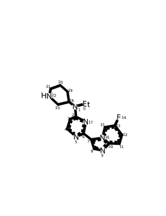 CCN(c1ccnc(-c2cnc3ccc(F)cn23)n1)C1CCCNC1